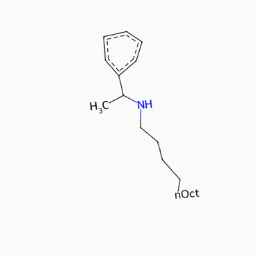 CCCCCCCCCCCCNC(C)c1ccccc1